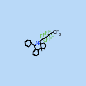 CC12CCCC1(CC(F)(F)C(F)(F)C(F)(F)C(F)(F)C(F)(F)F)N=C(c1ccccc1)c1ccccc12